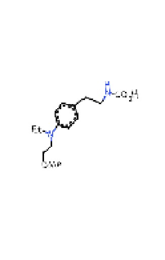 CCN(CCOC)c1ccc(CCNC(=O)O)cc1